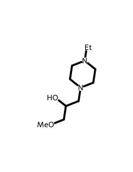 CCN1CCN(CC(O)COC)CC1